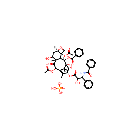 CC(=O)O[C@H]1C(=O)[C@@]2(C)[C@H]([C@H](OC(=O)c3ccccc3)[C@]3(O)C[C@H](OC(=O)[C@H](O)[C@@H](NC(=O)c4ccccc4)c4ccccc4)C(C)=C1C3(C)C)[C@]1(OC(C)=O)CO[C@@H]1C[C@@H]2O.O=P(O)(O)O